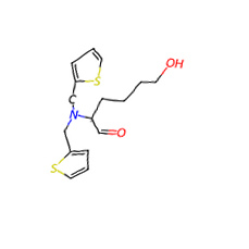 O=C[C](CCCCO)N(Cc1cccs1)Cc1cccs1